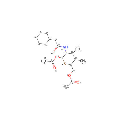 CC(=O)OCC1SC(OC(C)=O)C(NC(=O)CC2CCCCC2)C(C)C1C